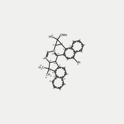 COC1(O)C2c3c(cc(C(C)C)c4ccccc34)C3=[N+](C=NC4C3c3ccc5ccccc5c3C4(C)C)C21